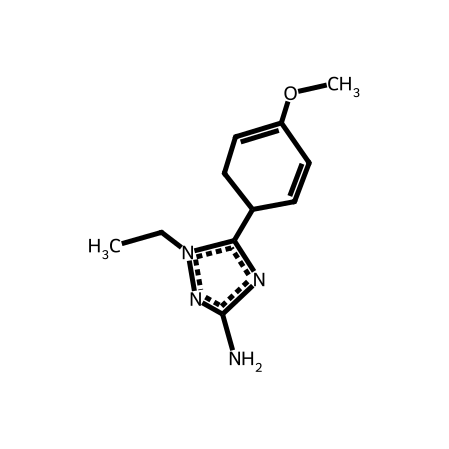 CCn1nc(N)nc1C1C=CC(OC)=CC1